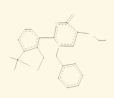 CCOc1cn(Cc2ccccc2)c(-c2cccc(C(F)(F)F)c2CC)nc1=O